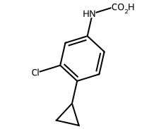 O=C(O)Nc1ccc(C2CC2)c(Cl)c1